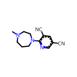 CN1CCCN(c2ncc(C#N)cc2C#N)CC1